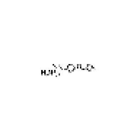 CC(NCc1ccc(OCc2ccoc2)cc1)C(N)=O